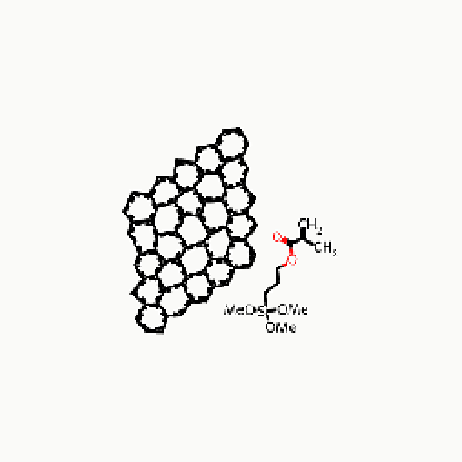 C=C(C)C(=O)OCCC[Si](OC)(OC)OC.c1cc2cc3cc4cc5ccc6cc7cc8cc9cccc%10cc%11cc%12cc%13ccc%14cc%15cc%16cc(c1)c2c1c3c2c4c3c5c6c4c7c5c8c(c9%10)c%11c6c%12c7c%13c%14c8c%15c(c%161)c2c1c3c4c(c56)c7c81